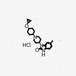 Cc1ccc2[nH]c(=O)n(C3CCN(C4CCC(OC5CC5)CC4)CC3)c2c1.Cl